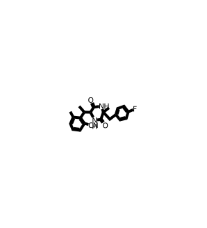 Cc1cccc(C#N)c1C(C)C1NC(=O)C(C)(Cc2ccc(F)cc2)NC1=O